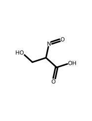 O=NC(CO)C(=O)O